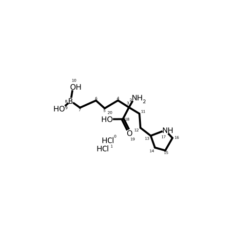 Cl.Cl.NC(CCCCB(O)O)(CCC1CCCN1)C(=O)O